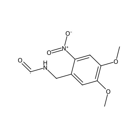 COc1cc(CN[C]=O)c([N+](=O)[O-])cc1OC